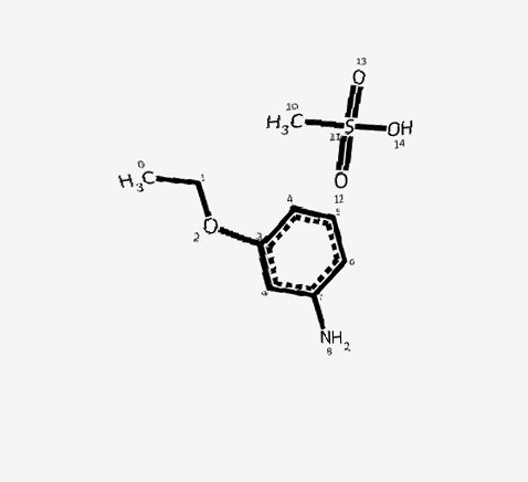 CCOc1cccc(N)c1.CS(=O)(=O)O